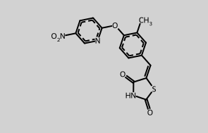 Cc1cc(C=C2SC(=O)NC2=O)ccc1Oc1ccc([N+](=O)[O-])cn1